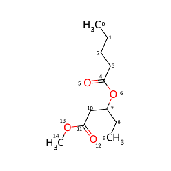 CCCCC(=O)OC(CC)CC(=O)OC